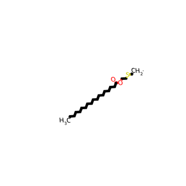 [CH2]CSCCOC(=O)CCCCCCCCCCCCCCCCC